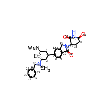 CC[C@H](CC(CCNC)c1ccc2c(c1)CN(C1CCC(=O)NC1=O)C2=O)N(C)Cc1ccccc1